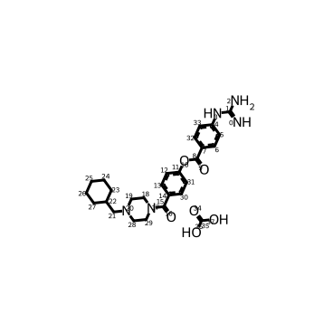 N=C(N)Nc1ccc(C(=O)Oc2ccc(C(=O)N3CCN(CC4CCCCC4)CC3)cc2)cc1.O=C(O)O